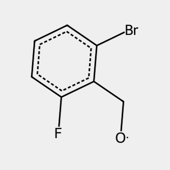 [O]Cc1c(F)cccc1Br